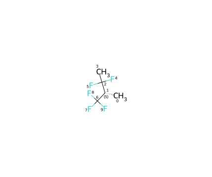 C[C@@H](C(C)(F)F)C(F)(F)F